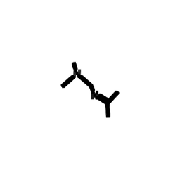 CC(C)=NCN(C)C